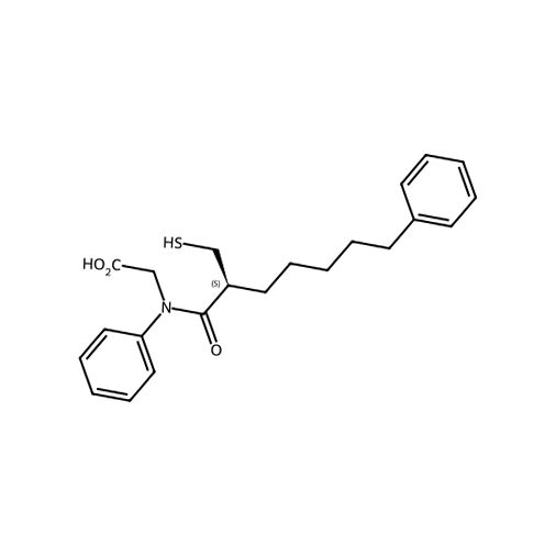 O=C(O)CN(C(=O)[C@@H](CS)CCCCCc1ccccc1)c1ccccc1